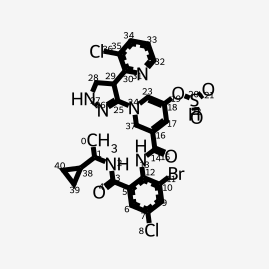 CC(NC(=O)c1cc(Cl)cc(Br)c1NC(=O)C1=CC(O[SH](=O)=O)=CN(C2=NNCC2c2ncccc2Cl)C1)C1CC1